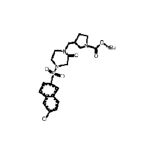 CC(C)(C)OC(=O)N1CCC(CN2CCN(S(=O)(=O)c3ccc4cc(Cl)ccc4c3)CC2=O)C1